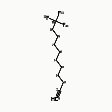 C#CCCCCCCCCC(F)(F)F